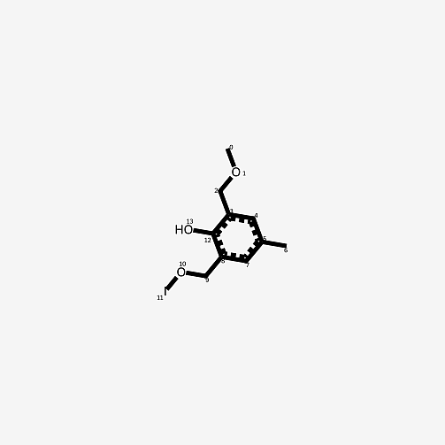 COCc1cc(C)cc(COI)c1O